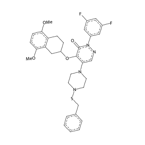 COc1ccc(OC)c2c1CCC(Oc1c(N3CCN(SCc4ccccc4)CC3)cnn(-c3cc(F)cc(F)c3)c1=O)C2